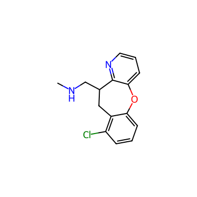 CNCC1Cc2c(Cl)cccc2Oc2cccnc21